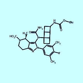 Cc1cc(-n2nc3c(c2N(C(N)=O)C24C5C6C2C2C4C5C62NC(=O)OC(C)(C)C)[C@H](C)N(C(=O)O)CC3)cc(C)c1F